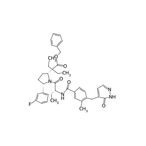 CC[C@@H](NC(=O)c1ccc(Cc2ccn[nH]c2=O)c(C)c1)C(=O)N1[C@H](c2cccc(F)c2)CC[C@@H]1C(CC)(CC)C(=O)OCc1ccccc1